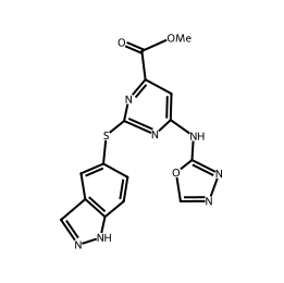 COC(=O)c1cc(Nc2nnco2)nc(Sc2ccc3[nH]ncc3c2)n1